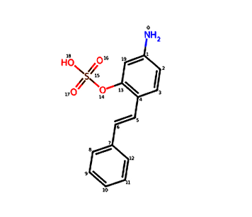 Nc1ccc(C=Cc2ccccc2)c(OS(=O)(=O)O)c1